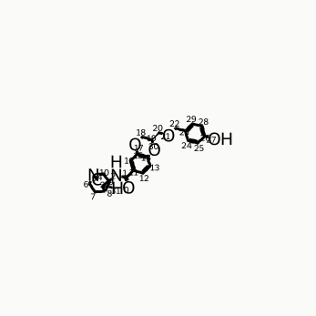 O=C(N[C@H]1CN2CCC1CC2)c1ccc2c(c1)OC[C@@H](COCc1ccc(O)cc1)O2